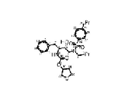 CC(C)CN(C[C@@H](O)[C@H](Cc1ccccc1)NC(=O)OC1CCOC1)S(=O)(=O)c1ccc(C(C)C)cc1